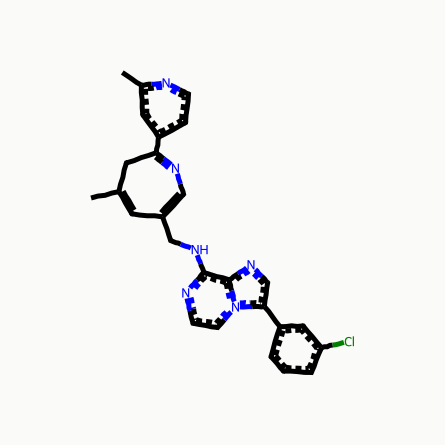 CC1=CC(CNc2nccn3c(-c4cccc(Cl)c4)cnc23)=CN=C(c2ccnc(C)c2)C1